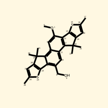 COc1cc2c3c(c(CO)cc2c2c1-c1sc(C)cc1C2(C)C)-c1sc(C)cc1C3(C)C